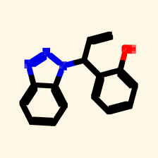 C=CC(c1ccccc1O)n1nnc2ccccc21